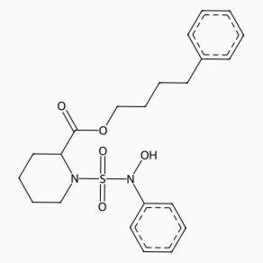 O=C(OCCCCc1ccccc1)C1CCCCN1S(=O)(=O)N(O)c1ccccc1